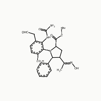 CC(=NO)C1CC(C(=O)OC(C)(C)C)N(c2c(C(=O)O)ccc(CC=O)c2NC(N)=O)C1c1ccccc1